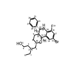 CCN(CCO)C[C@H]1CC[C@@H]2[C@H](O1)c1cc(Br)cc(F)c1N[C@H]2c1ccccc1